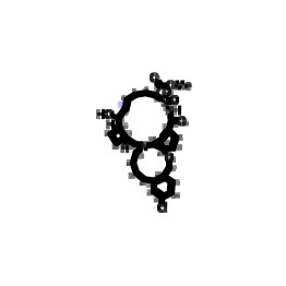 COC(=O)[C@H]1CC/C=C/[C@H](O)[C@@H]2CC[C@H]2CN2CCCCc3cc(Cl)ccc3COc3ccc(cc32)C(=O)NS1(=O)=O